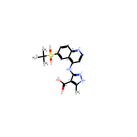 Cc1[nH]nc(Nc2ccnc3ccc(S(=O)(=O)C(C)(C)C)cc23)c1C(=O)O